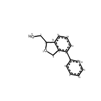 OCC1OCc2c(-c3ccccn3)cccc21